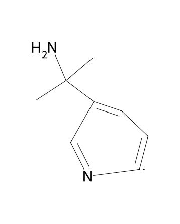 CC(C)(N)c1cc[c]nc1